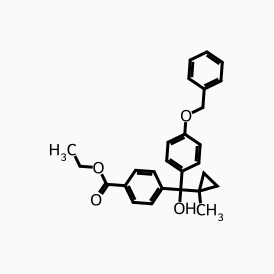 CCOC(=O)c1ccc(C(O)(c2ccc(OCc3ccccc3)cc2)C2(C)CC2)cc1